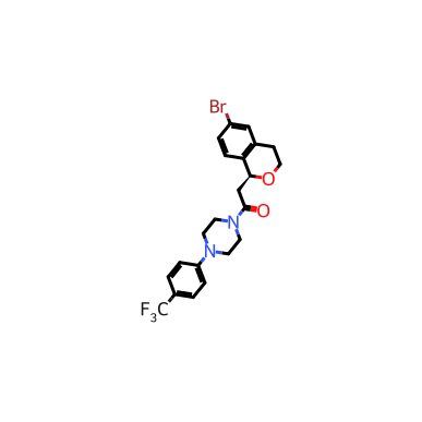 O=C(C[C@@H]1OCCc2cc(Br)ccc21)N1CCN(c2ccc(C(F)(F)F)cc2)CC1